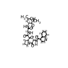 COC(=O)[C@H](CC(C)C)NC(=O)CNC(=O)C(=O)[C@@H]1CCCN1C(=O)CNC(=O)c1ccnc2ccccc12